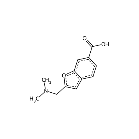 CN(C)Cc1cc2ccc(C(=O)O)cc2o1